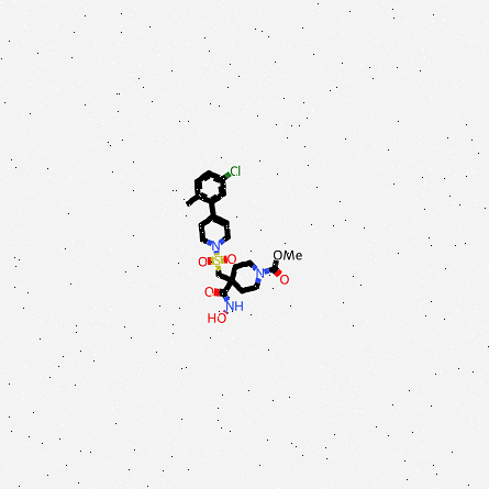 COC(=O)N1CCC(CS(=O)(=O)N2CC=C(c3cc(Cl)ccc3C)CC2)(C(=O)NO)CC1